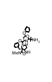 CNC(=O)[C@]1(Cc2ccccc2)CN(C(=O)[C@@H](CCOc2ccccc2)NC(=O)C(C)(C)N)CCC1=N